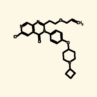 C=CCOCCc1nc2cnc(Cl)cc2c(=O)n1-c1ccc(OC2CCN(C3CCC3)CC2)cc1